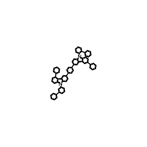 c1ccc(-c2cccc(-n3c4ccc(-c5ccc(-c6ccc7c(c6)c6cc(-c8ccccc8)ccc6n7-c6ccccc6-c6ccccc6)cc5)cc4c4c(-c5ccccc5)cccc43)c2)cc1